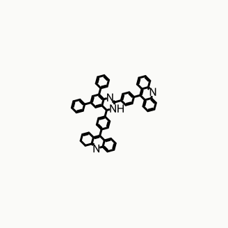 C1=Cc2c(nc3ccccc3c2-c2ccc(C3NC(c4ccc(-c5c6ccccc6nc6ccccc56)cc4)=Nc4c(-c5ccccc5)cc(-c5ccccc5)cc43)cc2)CC1